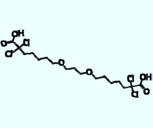 O=C(O)C(Cl)(Cl)CCCCCOCCCOCCCCCC(Cl)(Cl)C(=O)O